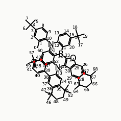 Cc1cc(C(C)(C)C)ccc1N1c2ccc(C(C)(C)C)cc2B2c3oc4cc5c(cc4c3N(c3cc4c(cc3-c3ccccc3)C(C)(C)CCC4(C)C)c3cc(C(C)(C)C)cc1c32)C1(C)CCC5(C)CC1